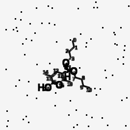 CCCCO[SiH](OCCCC)C(C=C(C)C(=O)O)CC